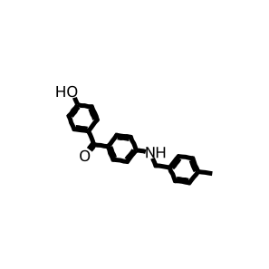 Cc1ccc(CNc2ccc(C(=O)c3ccc(O)cc3)cc2)cc1